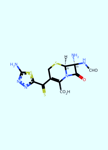 Nc1nnc(C(=S)C2=C(C(=O)O)N3C(=O)[C@](N)(NC=O)[C@@H]3SC2)s1